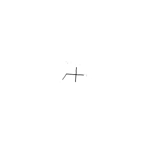 CCC(N)(O)O.N